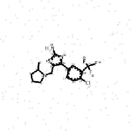 CC1CCCN1Cc1sc(N)nc1-c1ccc(Cl)c(C(F)(F)F)c1